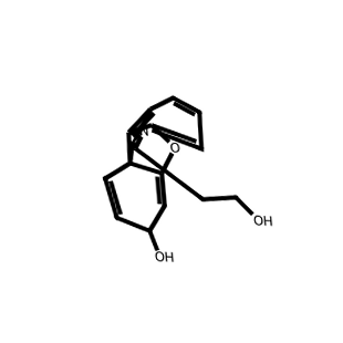 OCCC1=CC23C=CC(O)C=C2Oc2cccc(c23)C=N1